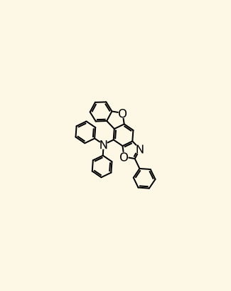 c1ccc(-c2nc3cc4oc5ccccc5c4c(N(c4ccccc4)c4ccccc4)c3o2)cc1